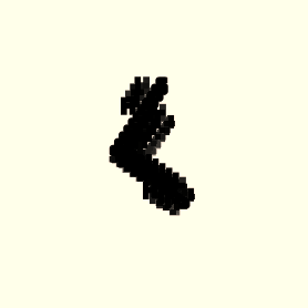 S.S.S.S.S.S.S.[SiH4].[SiH4].[SiH4].[SiH4].[SiH4].[SiH4].[SiH4].[SiH4].[SiH4].[SiH4].[SiH4].[SiH4].[SiH4].[SiH4]